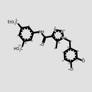 CCOC(=O)c1cc(NC(=O)c2nnn(Cc3ccc(Cl)c(Cl)c3)c2C)cc(C(=O)O)c1